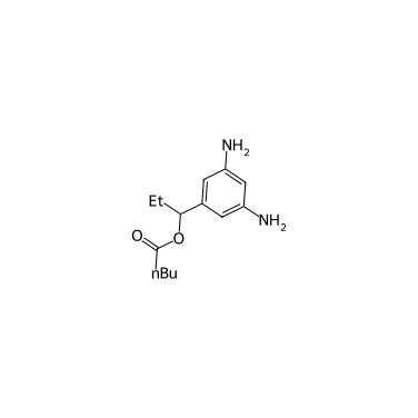 CCCCC(=O)OC(CC)c1cc(N)cc(N)c1